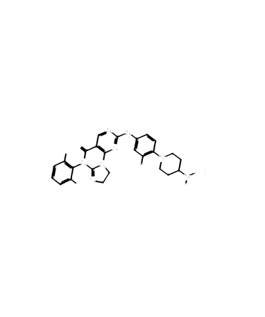 Cc1cc(Nc2ncc3c(n2)N2CCN=C2N(c2c(F)cccc2Cl)C3=O)ccc1N1CCC(N(C)C)CC1